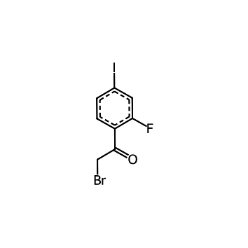 O=C(CBr)c1ccc(I)cc1F